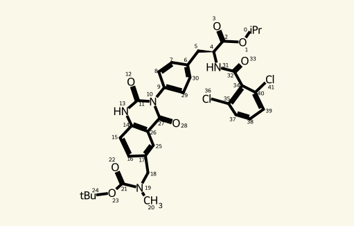 CC(C)OC(=O)[C@H](Cc1ccc(-n2c(=O)[nH]c3ccc(CN(C)C(=O)OC(C)(C)C)cc3c2=O)cc1)NC(=O)c1c(Cl)cccc1Cl